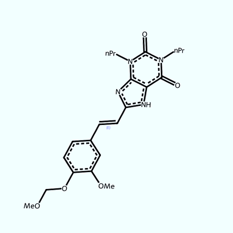 CCCn1c(=O)c2[nH]c(/C=C/c3ccc(OCOC)c(OC)c3)nc2n(CCC)c1=O